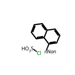 CCCCCCCCCc1cccc2ccccc12.O=S(=O)(O)Cl